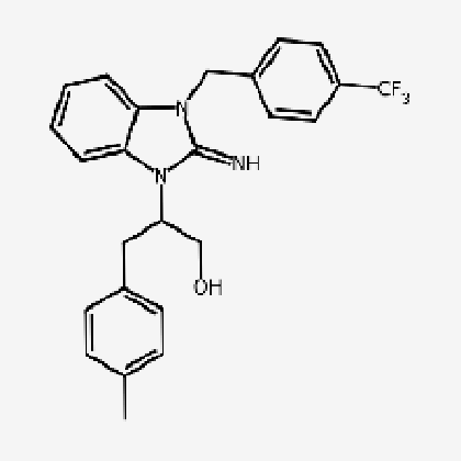 Cc1ccc(CC(CO)n2c(=N)n(Cc3ccc(C(F)(F)F)cc3)c3ccccc32)cc1